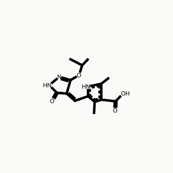 Cc1[nH]c(C=C2C(=O)NN=C2OC(C)C)c(C)c1C(=O)O